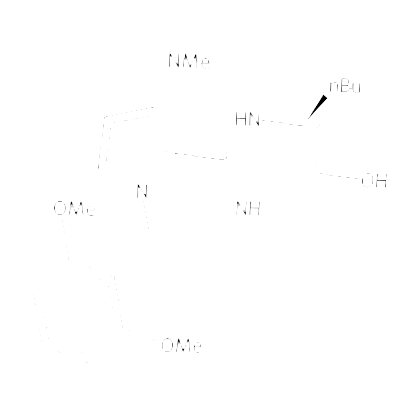 CCCC[C@@H](CO)NC(=N)c1c(NC)ccn1Cc1c(OC)cccc1OC